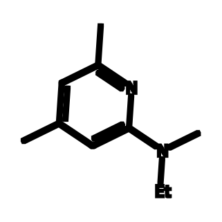 CCN(C)c1cc(C)cc(C)n1